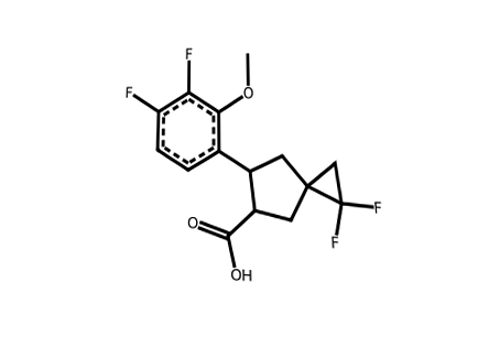 COc1c(C2CC3(CC2C(=O)O)CC3(F)F)ccc(F)c1F